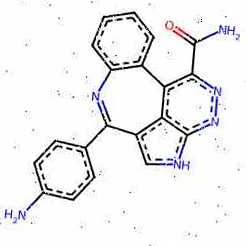 NC(=O)c1nnc2[nH]cc3c2c1-c1ccccc1N=C3c1ccc(N)cc1